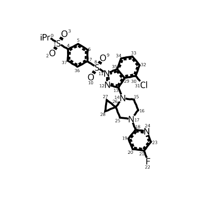 CC(C)S(=O)(=O)c1ccc(S(=O)(=O)n2nc(N3CCN(c4ccc(F)cn4)CC34CC4)c3c(Cl)cccc32)cc1